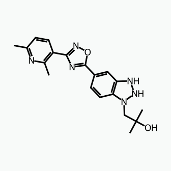 Cc1ccc(-c2noc(-c3ccc4c(c3)NNN4CC(C)(C)O)n2)c(C)n1